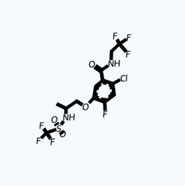 CC(COc1cc(C(=O)NCC(F)(F)F)c(Cl)cc1F)NS(=O)(=O)C(F)(F)F